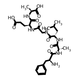 CC(C)C[C@H](NC(=O)[C@H](C)NC(=O)[C@@H](N)Cc1ccccc1)C(=O)NCC(=O)N[C@@H](CCC(=O)O)C(=O)N[C@@H](C)C(=O)O